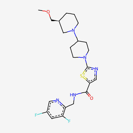 COC[C@H]1CCCN(C2CCN(c3ncc(C(=O)NCc4ncc(F)cc4F)s3)CC2)C1